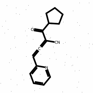 N#CC(=C=Cc1ccccn1)C(=O)C1CCCC1